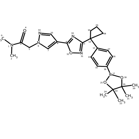 CN(C)C(=O)Cn1cc(-c2nc(C3(c4ccc(B5OC(C)(C)C(C)(C)O5)cc4)CCC3)no2)cn1